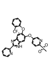 CS(=O)(=O)c1ccc(Oc2cc3[nH]c(-c4ccccn4)nc3cc2Oc2ccccc2C(F)(F)F)cn1